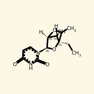 CC[C@@]12O[C@@H](n3ccc(=O)[nH]c3=O)[C@@H](OC1C)[C@@H]2O